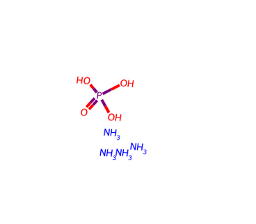 N.N.N.N.O=P(O)(O)O